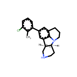 Cc1c(Cl)cccc1-c1cc2c3c(c1)[C@@H]1CNCC[C@@H]1N3CCC2